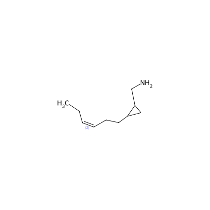 CC/C=C\CCC1CC1CN